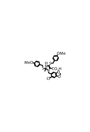 COc1ccc(CSC2=C(C(=O)O)N(Cc3cc4c(cc3Cl)OCO4)C(C)(SCc3ccc(OC)cc3)N2)cc1